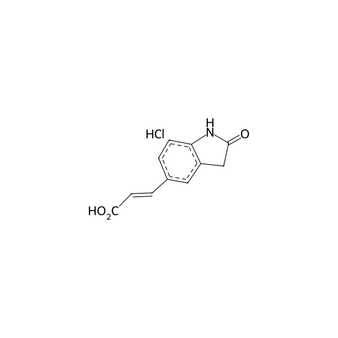 Cl.O=C(O)/C=C/c1ccc2c(c1)CC(=O)N2